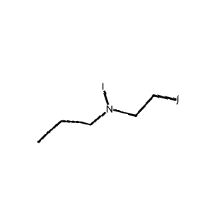 CCCN(I)CCI